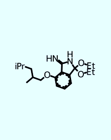 CCOC1(OCC)NC(=N)c2c(OCC(C)CC(C)C)cccc21